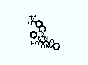 COc1c(O)nc(N2CCc3ccc(C(=O)N(C)C)cc3[C@H]2c2ccccc2)nc1-c1nc2ccccc2o1